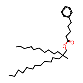 CCCCCCCCCCCCC(C)(CCCCCCCCCC)COC(=O)CCCCc1ccccc1